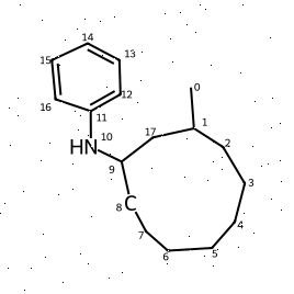 CC1CCCCCCCC(Nc2ccccc2)C1